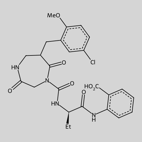 CC[C@@H](NC(=O)N1CC(=O)NCC(Cc2cc(Cl)ccc2OC)C1=O)C(=O)Nc1ccccc1C(=O)O